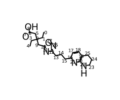 CCC(CC)(CC(=O)O)Cc1nc(CCCc2ccc3c(n2)NCCC3)no1